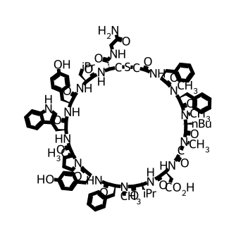 CCCC[C@H]1C(=O)N(C)CC(=O)N[C@@H](CC(=O)O)C(=O)N[C@@H](C(C)C)C(=O)N(C)[C@@H](Cc2ccccc2)C(=O)N[C@@H](Cc2ccc(O)cc2)C(=O)N2CCC[C@]2(C)C(=O)N[C@@H](Cc2c[nH]c3ccccc23)C(=O)N[C@@H](Cc2ccc(O)cc2)C(=O)N[C@@H](CC(C)C)C(=O)N[C@H](C(=O)NCC(N)=O)CSCC(=O)N[C@@H](Cc2ccccc2)C(=O)N(C)[C@@H](Cc2ccccc2)C(=O)N1C